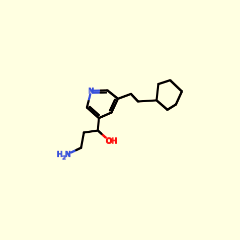 NCCC(O)c1cncc(CCC2CCCCC2)c1